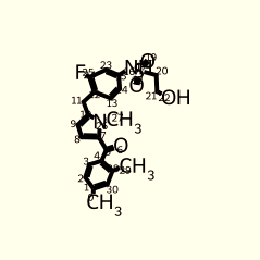 Cc1ccc(C(=O)c2ccc(Cc3ccc(NS(=O)(=O)CCO)cc3F)n2C)c(C)c1